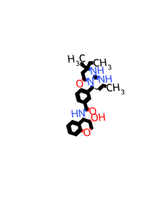 CCC[C@H](c1cccc(C(=O)N[C@H]2c3ccccc3OCC2O)c1)N1C(=N)NC(CC)(CC)CC1=O